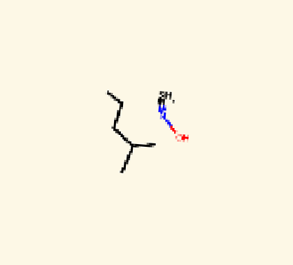 CCCC(C)C.ON=[SiH2]